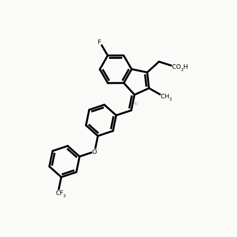 CC1=C(CC(=O)O)c2cc(F)ccc2/C1=C\c1cccc(Oc2cccc(C(F)(F)F)c2)c1